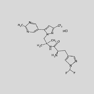 Cc1ncc(-c2cc(C(F)(F)F)nn2CC(C)(C)NC(=O)[C@H](N)Cc2cnn(C(F)F)c2)cn1.Cl